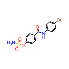 NS(=O)(=O)Oc1ccc(C(=O)Nc2ccc(Br)cc2)cc1